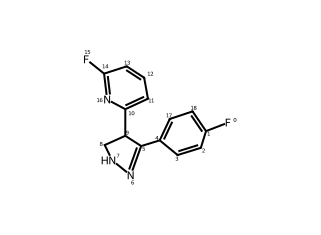 Fc1ccc(C2=NNCC2c2cccc(F)n2)cc1